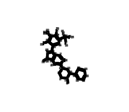 CN1CCN(c2ncc3c(-c4cc(C(F)(F)F)c(F)c(O)c4F)nn(C)c3n2)CC1c1ccccc1